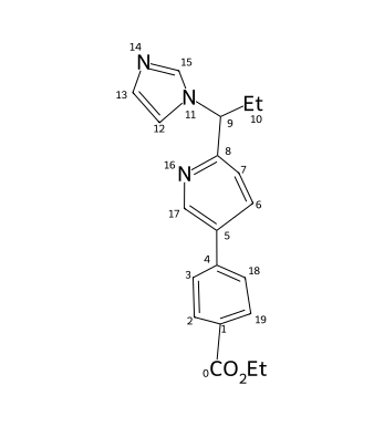 CCOC(=O)c1ccc(-c2ccc(C(CC)n3ccnc3)nc2)cc1